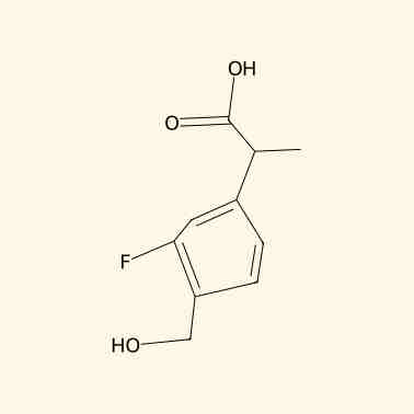 CC(C(=O)O)c1ccc(CO)c(F)c1